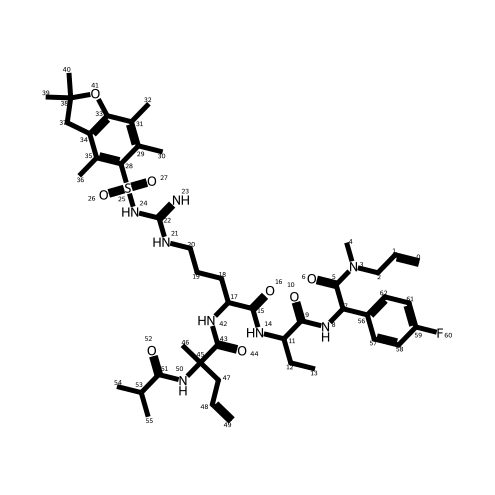 C=CCN(C)C(=O)C(NC(=O)C(CC)NC(=O)C(CCCNC(=N)NS(=O)(=O)c1c(C)c(C)c2c(c1C)CC(C)(C)O2)NC(=O)C(C)(CC=C)NC(=O)C(C)C)c1ccc(F)cc1